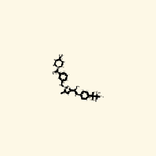 Cc1cc(C(F)=Cc2ccc(C(C)(C)C(F)(F)F)cc2)nn1Cc1cccc(C(=O)N2CCC(O)CC2)c1